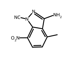 Cc1ccc([N+](=O)[O-])c2c1c(N)nn2C#N